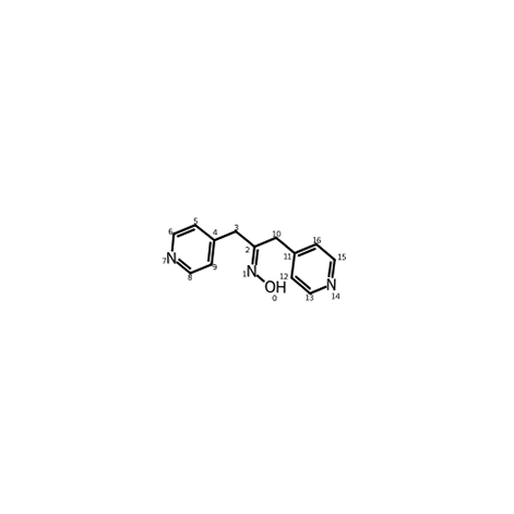 ON=C(Cc1ccncc1)Cc1ccncc1